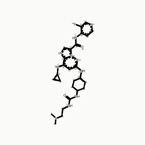 CN(C)CCNC(=O)NC1CCC(Nc2cc(NC3CC3)c3ncc(C(=O)Nc4ccncc4F)n3n2)CC1